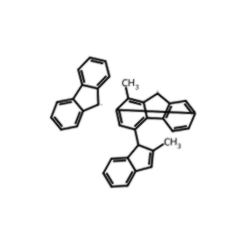 CC1=Cc2ccccc2C1c1cc2c(C)c3c1-c1ccc-2cc1[CH]3.[CH]1c2ccccc2-c2ccccc21